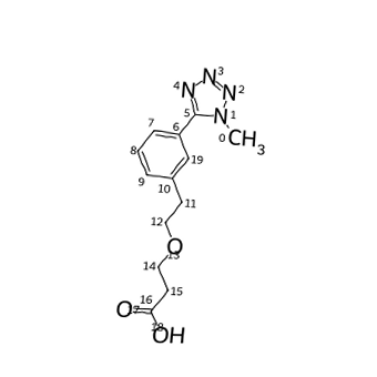 Cn1nnnc1-c1cccc(CCOCCC(=O)O)c1